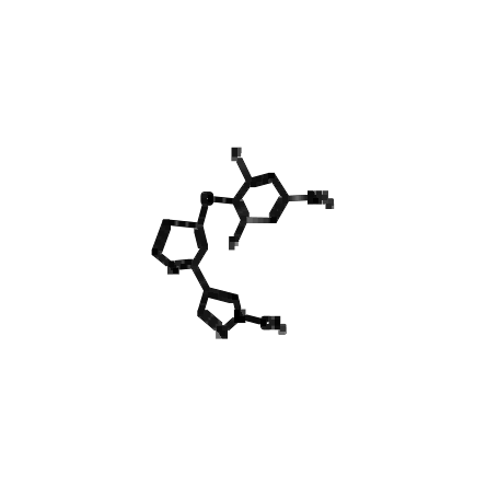 Cn1cc(-c2cc(Oc3c(F)cc(N)cc3F)ccn2)cn1